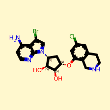 Nc1ccnc2c1c(Br)cn2[C@@H]1C[C@H](Oc2cc(Cl)cc3c2CNCC3)[C@@H](O)[C@H]1O